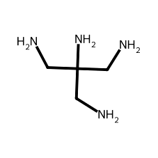 NCC(N)(CN)CN